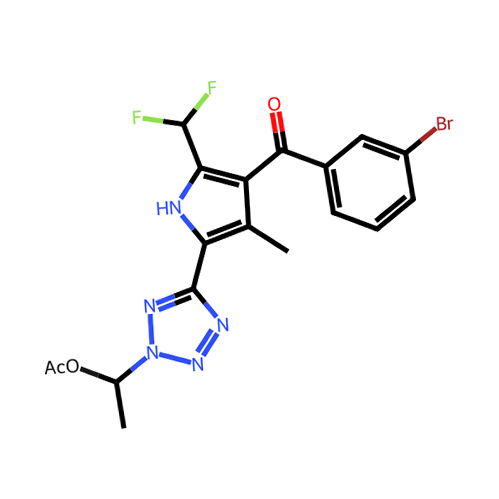 CC(=O)OC(C)n1nnc(-c2[nH]c(C(F)F)c(C(=O)c3cccc(Br)c3)c2C)n1